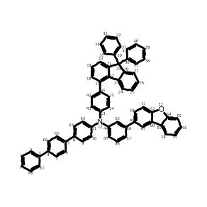 c1ccc(-c2ccc(-c3ccc(N(c4ccc(-c5cccc6c5-c5ccccc5C6(c5ccccc5)c5ccccc5)cc4)c4cccc(-c5ccc6oc7ccccc7c6c5)c4)cc3)cc2)cc1